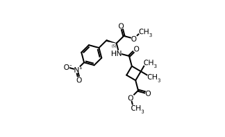 COC(=O)C1CC(C(=O)N[C@@H](Cc2ccc([N+](=O)[O-])cc2)C(=O)OC)C1(C)C